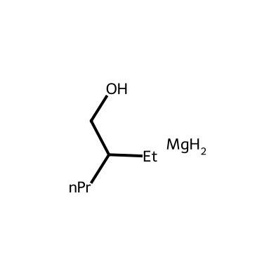 CCCC(CC)CO.[MgH2]